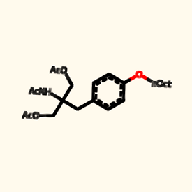 CCCCCCCCOc1ccc(CC(COC(C)=O)(COC(C)=O)NC(C)=O)cc1